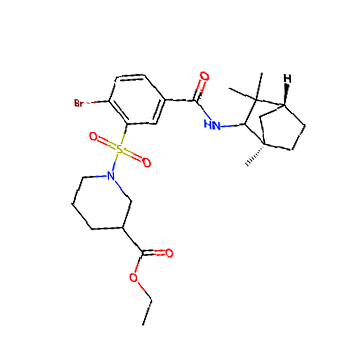 CCOC(=O)C1CCCN(S(=O)(=O)c2cc(C(=O)NC3C(C)(C)[C@@H]4CC[C@]3(C)C4)ccc2Br)C1